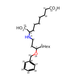 CCCCCCC(CCNC(CCCCCCC(=O)O)C(=O)O)OCc1ccccc1